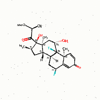 COC(C#N)C(=O)[C@@]1(O)[C@H](C)C[C@H]2[C@@H]3C[C@H](F)C4=CC(=O)C=C[C@]4(C)[C@@]3(F)[C@@H](O)C[C@@]21C